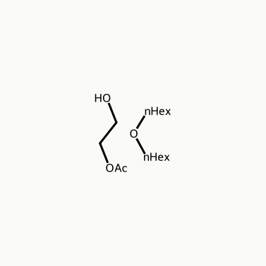 CC(=O)OCCO.CCCCCCOCCCCCC